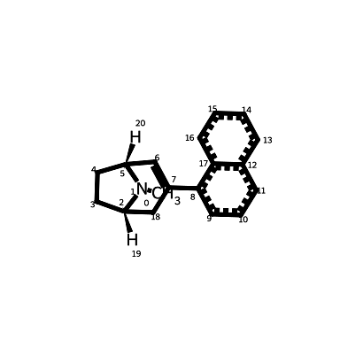 CN1[C@H]2CC[C@@H]1C=C(c1cccc3ccccc13)C2